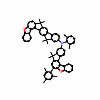 Cc1cc(C)c(-c2cc3c(c4c2oc2ccccc24)-c2ccc(N(c4ccc5c(c4)C(C)(C)c4cc6c(cc4-5)C(C)(C)c4ccc5oc7ccccc7c5c4-6)c4c(C)cccc4C)cc2C3(C)C)c(C)c1